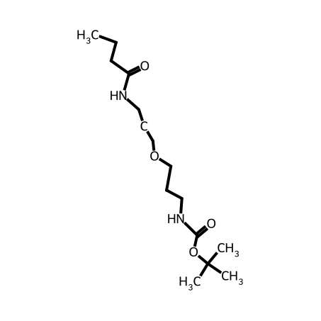 CCCC(=O)NCCCOCCCNC(=O)OC(C)(C)C